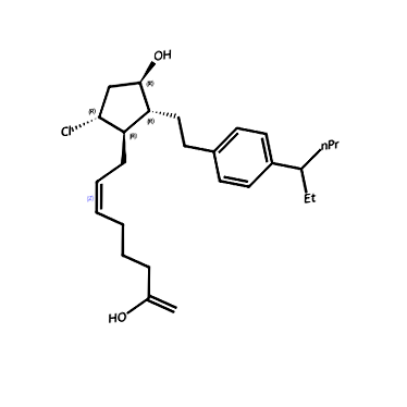 C=C(O)CCC/C=C\C[C@@H]1[C@@H](CCc2ccc(C(CC)CCC)cc2)[C@H](O)C[C@H]1Cl